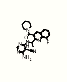 CC(Nc1ncnc(N)c1C#N)c1nc2c(F)cccc2cc1C(=O)N1CCCCC1